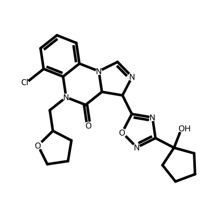 O=C1C2C(c3nc(C4(O)CCCC4)no3)N=CN2c2cccc(Cl)c2N1CC1CCCO1